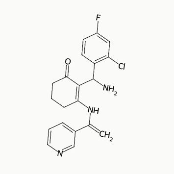 C=C(NC1=C(C(N)c2ccc(F)cc2Cl)C(=O)CCC1)c1cccnc1